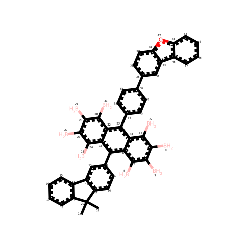 Bc1c(B)c(B)c2c(-c3ccc4c(c3)-c3ccccc3C4(C)C)c3c(B)c(B)c(B)c(B)c3c(-c3ccc(-c4ccc5oc6ccccc6c5c4)cc3)c2c1B